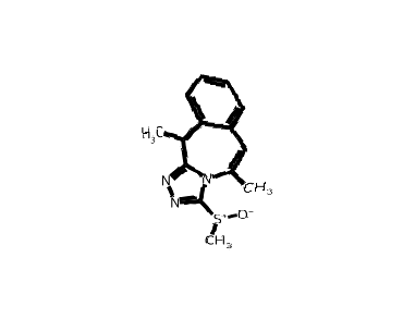 CC1=Cc2ccccc2C(C)c2nnc([S+](C)[O-])n21